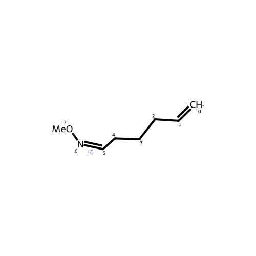 [CH]=CCCC/C=N\OC